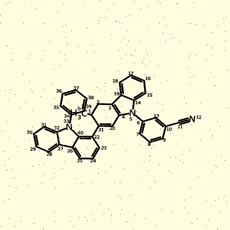 CC1Cc2c(n(-c3cccc(C#N)c3)c3ccccc23)C=C1c1cccc2c3ccccc3n(-c3ccccc3)c12